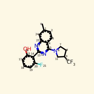 Cc1ccc2c(N3CCC(C(F)(F)F)C3)nc(-c3c(O)cccc3F)nc2c1